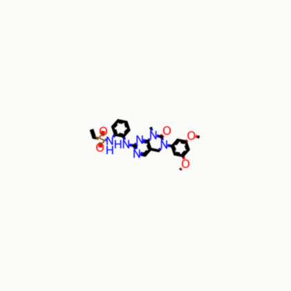 C=CS(=O)(=O)Nc1ccccc1Nc1ncc2c(n1)N(C)C(=O)N(c1cc(OC)cc(OC)c1)C2